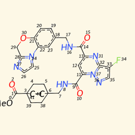 COC(=O)C12CCC(CNC(=O)c3cc(C(=O)NCc4ccc5c(c4)-n4ccnc4CO5)nc4c(F)cnn34)(CC1)CC2